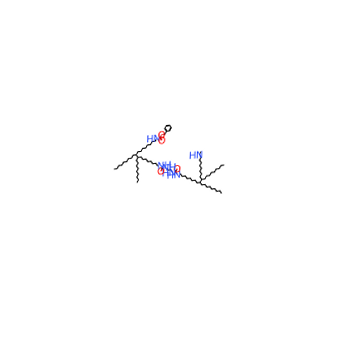 CCCCCCCCCC(CCCCCCCCNC)C(CCCCCCCCC)CCCCCCCCNC(=O)NCCNC(=O)NCCCCCCCCC(CCCCCCCCC)C(CCCCCCCCC)CCCCCCCCNC(=O)OCc1ccccc1